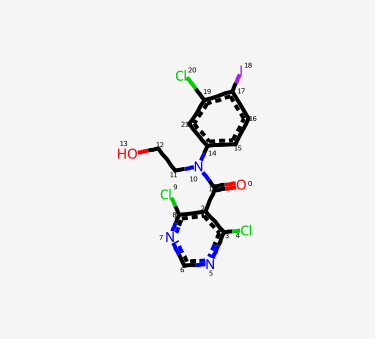 O=C(c1c(Cl)ncnc1Cl)N(CCO)c1ccc(I)c(Cl)c1